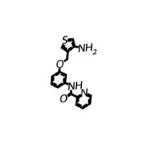 Nc1cscc1COc1cccc(NC(=O)c2ccccn2)c1